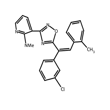 CNc1ncccc1-c1noc(/C(=C\c2ccccc2C)c2cccc(Cl)c2)n1